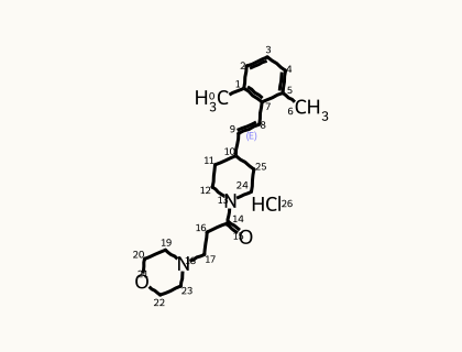 Cc1cccc(C)c1/C=C/C1CCN(C(=O)CCN2CCOCC2)CC1.Cl